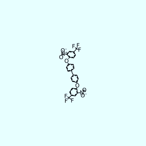 O=[N+]([O-])c1cc(C(F)(F)F)ccc1Oc1ccc(-c2ccc(Oc3ccc(C(F)(F)F)cc3[N+](=O)[O-])cc2)cc1